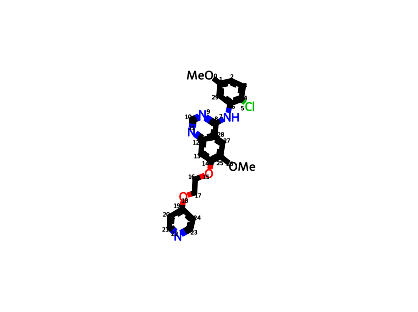 COc1ccc(Cl)c(Nc2ncnc3cc(OCCOc4ccncc4)c(OC)cc23)c1